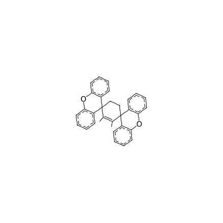 CC1=C(C)C2(CCC13c1ccccc1Oc1ccccc13)c1ccccc1Oc1ccccc12